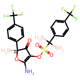 BC(B)(c1ccc(C(F)(F)F)cc1)S(=O)(=O)OC1=C(N)O[C@](B)(c2ccc(C(F)(F)F)cc2)C1=O